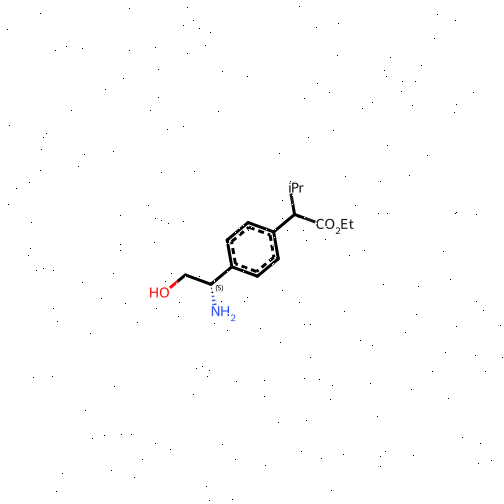 CCOC(=O)C(c1ccc([C@H](N)CO)cc1)C(C)C